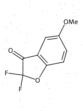 COc1ccc2c(c1)C(=O)C(F)(F)O2